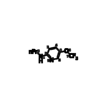 CCCNc1ccc(OC(F)(F)F)cn1